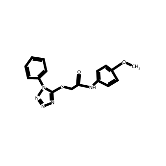 COc1ccc(NC(=O)CSc2nnnn2-c2ccccc2)cc1